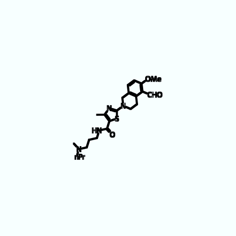 CCCN(C)CCCNC(=O)c1sc(N2CCc3c(ccc(OC)c3C=O)C2)nc1C